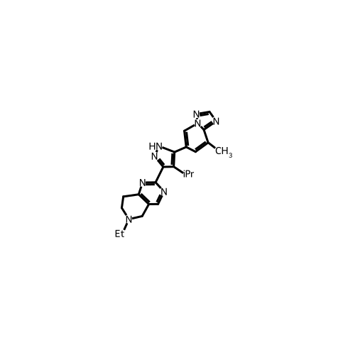 CCN1CCc2nc(-c3n[nH]c(-c4cc(C)c5ncnn5c4)c3C(C)C)ncc2C1